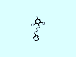 Cc1cc(Cl)c(OCCOC2=CCCC=N2)c(Cl)c1